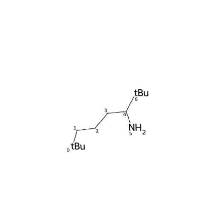 CC(C)(C)CCCC(N)C(C)(C)C